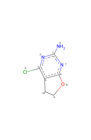 Nc1nc(Cl)c2c(n1)OCC2